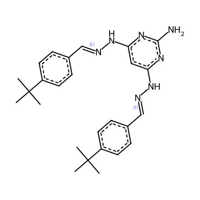 CC(C)(C)c1ccc(/C=N/Nc2cc(N/N=C/c3ccc(C(C)(C)C)cc3)nc(N)n2)cc1